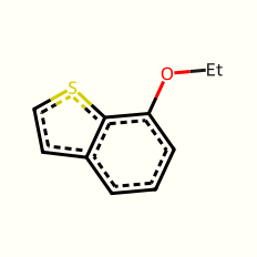 CCOc1cccc2ccsc12